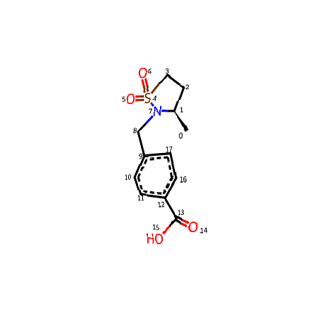 C[C@@H]1CCS(=O)(=O)N1Cc1ccc(C(=O)O)cc1